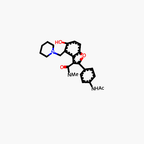 CNC(=O)c1c(-c2ccc(NC(C)=O)cc2)oc2ccc(O)c(CN3CCCCC3)c12